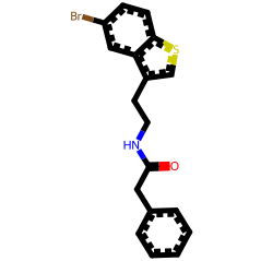 O=C(Cc1ccccc1)NCCc1csc2ccc(Br)cc12